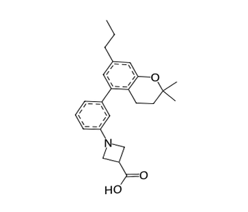 CCCc1cc2c(c(-c3cccc(N4CC(C(=O)O)C4)c3)c1)CCC(C)(C)O2